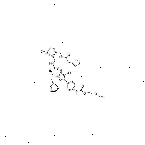 O=C(CC1CCCC1)NCc1ccc(Cl)cc1CNC(=O)N[C@@H](Cc1ccccc1)c1nc(-c2ccc(NC(=O)OCCOCI)cc2)c(Cl)[nH]1